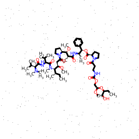 CCC(CO)OC(COC(=O)NCCC(=O)N1CCC[C@@H]1C(=O)O[C@@H](c1ccccc1)[C@@H](C)NC(=O)[C@H](C)[C@@H](OC)[C@@H]1CCCN1C(=O)C[C@@H](OC)[C@H]([C@@H](C)CC)N(C)C(=O)C(NC(=O)[C@H](C(C)C)N(C)C)C(C)C)OC